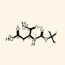 CC(C)(C)OC(=O)NC(CC(=O)O)C(N)=O